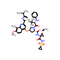 C=C[C@@H]1C[C@]1(NC(=O)[C@@H]1C[C@@H](Oc2cc(-c3nc(C(C)C)cs3)nc3c(C)c(OC)ccc23)CN1C(=O)[C@@H](Nc1ccccc1)C(C)(C)C)C(=O)NS(=O)(=O)C1CC1